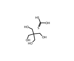 OC(=S)S.OCC(CO)(CO)CO